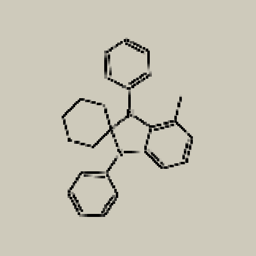 Cc1cccc2c1N(c1ccccc1)C1(CCCCC1)N2c1ccccc1